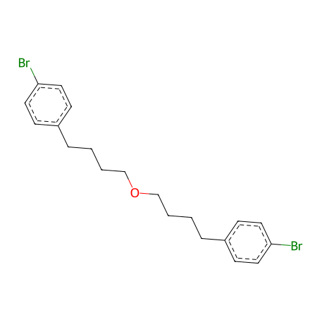 Brc1ccc(CCCCOCCCCc2ccc(Br)cc2)cc1